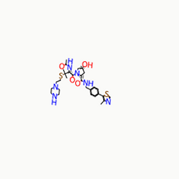 CC(=O)N[C@H](C(=O)N1C[C@H](O)C[C@H]1C(=O)NCc1ccc(-c2scnc2C)cc1)C(C)(C)SCCN1CCNCC1